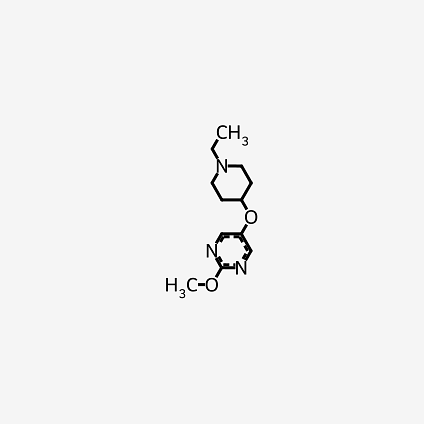 CCN1CCC(Oc2cnc(OC)nc2)CC1